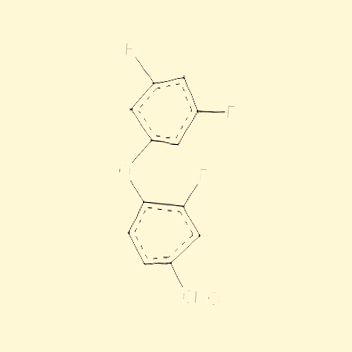 O=Cc1ccc(Oc2cc(F)cc(F)c2)c(F)c1